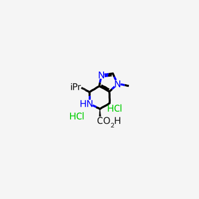 CC(C)C1N[C@H](C(=O)O)Cc2c1ncn2C.Cl.Cl